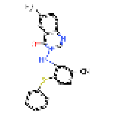 N#Cc1ccc(Sc2ccccc2)c(Nn2cnc3ccc(C(F)(F)F)cc3c2=O)c1